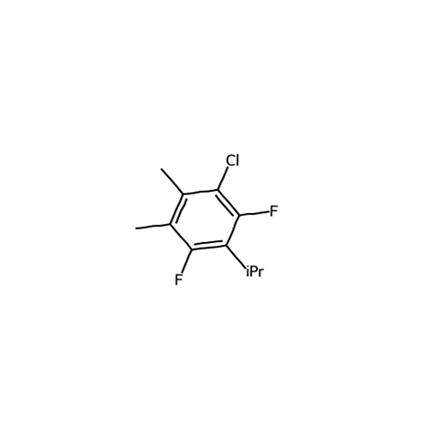 Cc1c(C)c(Cl)c(F)c(C(C)C)c1F